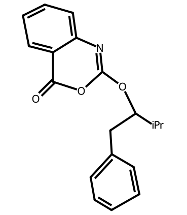 CC(C)C(Cc1ccccc1)Oc1nc2ccccc2c(=O)o1